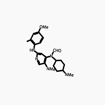 CNc1cnc(Nc2ccc(OC)cc2C)cc1N(C=O)C1CCC(NC)CC1